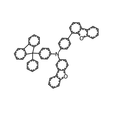 c1ccc(C2(c3ccc(N(c4ccc(-c5cccc6c5oc5ccccc56)cc4)c4ccc5oc6ccccc6c5c4)cc3)c3ccccc3-c3ccccc32)cc1